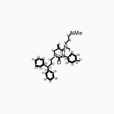 C=C(CN(C)CCCNC)CN(CCC(c1ccccc1)c1ccccc1)C(=O)Nc1ccc(C)cc1